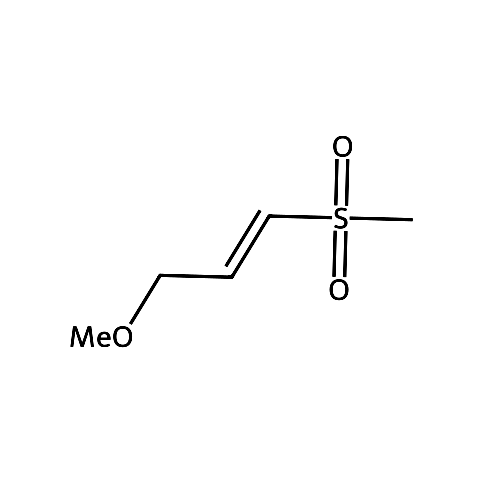 COCC=CS(C)(=O)=O